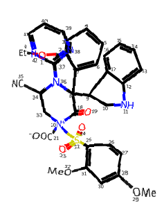 CCOc1ccccc1C1(C2CNc3ccccc32)C(=O)[N+](C(=O)[O-])(S(=O)(=O)c2ccc(OC)cc2OC)CC(C#N)N1c1ncccn1